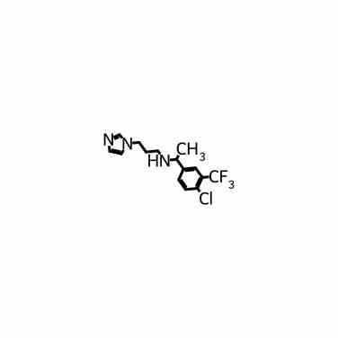 CC(NCCCn1ccnc1)c1ccc(Cl)c(C(F)(F)F)c1